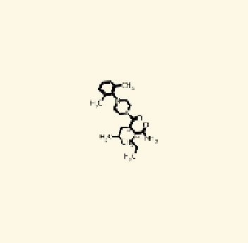 CCC[C@H](C(N)=O)[C@@H](CC(C)C)C(=O)N1CCN(c2c(C)cccc2C)CC1